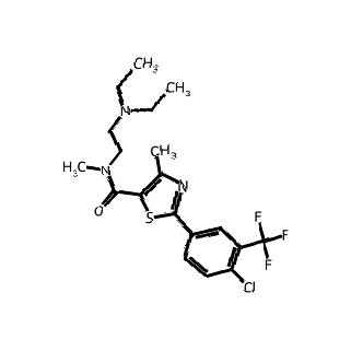 CCN(CC)CCN(C)C(=O)c1sc(-c2ccc(Cl)c(C(F)(F)F)c2)nc1C